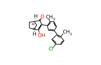 Cc1ccc(-c2cc(Cl)ccc2C)cc1C1=C(O)[C@H]2CC[C@H](C2)C1=O